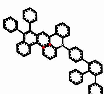 c1ccc(-c2cccc(-c3ccc(N(c4ccccc4)c4ccccc4-c4ccc5c(c4)c(-c4ccccc4)c(-c4ccccc4)c4ccccc45)cc3)c2-c2ccccc2)cc1